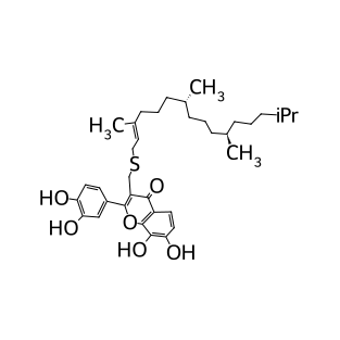 C/C(=C\CSCc1c(-c2ccc(O)c(O)c2)oc2c(O)c(O)ccc2c1=O)CCC[C@H](C)CCC[C@H](C)CCCC(C)C